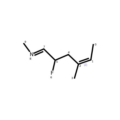 C/C=C(/C)CC(F)C=NC